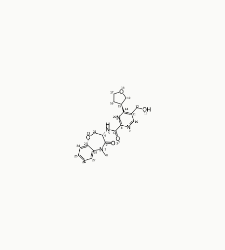 CN1C(=O)[C@@H](NC(=O)c2ncc(CO)c([C@H]3CCOC3)n2)COc2ccccc21